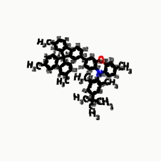 Cc1ccc(C2(c3ccc(C)cc3)c3cc(C)ccc3-c3ccc(-c4ccc5c(c4)Oc4cc(C)ccc4N5c4c(C)cc(C(C)(C)C)cc4C)cc32)cc1